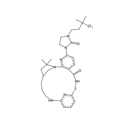 CC1(C)CC2CCCNc3cccc(n3)SNC(=O)c3ccc(N4CCN(CCC(C)(C)C(F)(F)F)C4=O)nc3N1C2